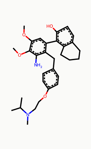 COc1cc(-c2c(O)ccc3c2CCCC3)c(Cc2ccc(OCCN(C)C(C)C)cc2)c(N)c1OC